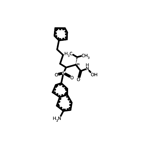 CC(C)[C@H](C(=O)NO)C(CCCc1ccccc1)S(=O)(=O)c1ccc2cc(N)ccc2c1